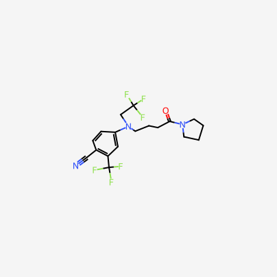 N#Cc1ccc(N(CCCC(=O)N2CCCC2)CC(F)(F)F)cc1C(F)(F)F